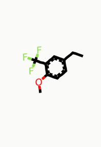 CCc1ccc(OC)c(C(F)(F)F)c1